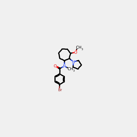 COC1CCCCC(N(C)C(=O)c2ccc(Br)cc2)C1N1CCCC1